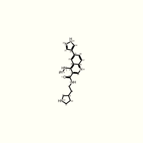 CC(C)Nc1c(C(=O)NCCC2CCNC2)cnc2ccc(-c3cn[nH]c3)cc12